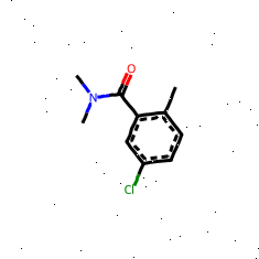 Cc1ccc(Cl)cc1C(=O)N(C)C